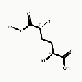 O=C(OBr)[C@H](Br)CC[C@H](Br)C(=O)O